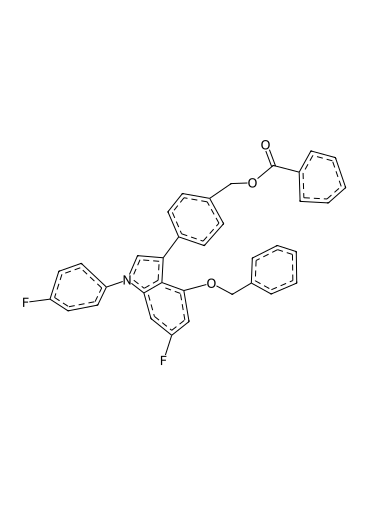 O=C(OCc1ccc(-c2cn(-c3ccc(F)cc3)c3cc(F)cc(OCc4ccccc4)c23)cc1)c1ccccc1